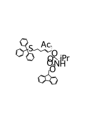 CC(=O)C[C@@H](/C=C/CCCSC(c1ccccc1)(c1ccccc1)c1ccccc1)OC(=O)[C@@H](NC(=O)OCC1c2ccccc2-c2ccccc21)C(C)C